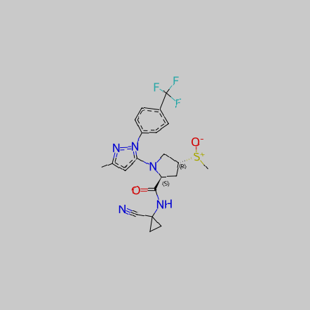 Cc1cc(N2C[C@H]([S+](C)[O-])C[C@H]2C(=O)NC2(C#N)CC2)n(-c2ccc(C(F)(F)F)cc2)n1